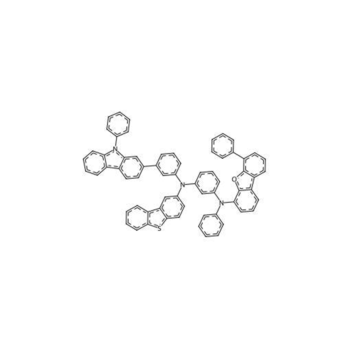 c1ccc(-c2cccc3c2oc2c(N(c4ccccc4)c4cccc(N(c5cccc(-c6ccc7c8ccccc8n(-c8ccccc8)c7c6)c5)c5ccc6sc7ccccc7c6c5)c4)cccc23)cc1